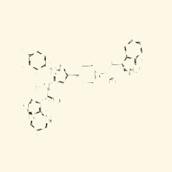 Cc1ccc(-n2nc(C3CCN([S+]([O-])Cc4noc5ccccc45)CC3)cc2NC(=O)c2cnn3cccnc23)cc1